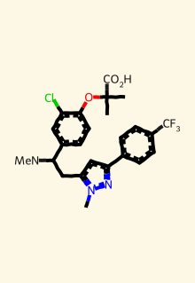 CNC(Cc1cc(-c2ccc(C(F)(F)F)cc2)nn1C)c1ccc(OC(C)(C)C(=O)O)c(Cl)c1